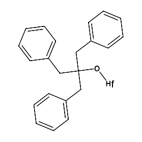 [Hf][O]C(Cc1ccccc1)(Cc1ccccc1)Cc1ccccc1